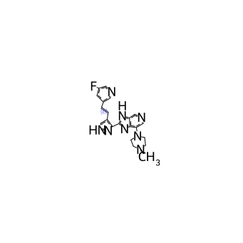 CN1CCN(c2cncc3[nH]c(-c4n[nH]cc4/C=C/c4cncc(F)c4)nc23)CC1